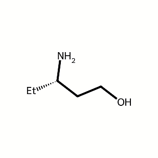 CC[C@H](N)CCO